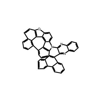 c1ccc2c(c1)cc(-c1nc3ccccc3nc1-n1c3cccc4c3c3c5c(ccc31)oc1ccc3cccc-4c3c15)c1ccccc12